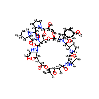 CCC(C)C1NC(=O)C(NC(=O)C(CC(C)C)N(C)C(=O)C2CCCN2C(=O)C(C)=O)C(C)OC(=O)C(Cc2ccc(OC)cc2)N(C)C(=O)C2CCCN2C(=O)C(C(C)C)NC(=O)C(C)C(=O)C(C(C)C)OC(=O)CC1O